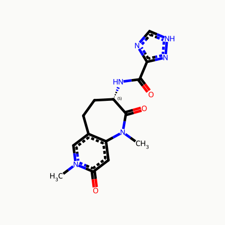 CN1C(=O)[C@@H](NC(=O)c2nc[nH]n2)CCc2cn(C)c(=O)cc21